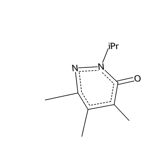 Cc1nn(C(C)C)c(=O)c(C)c1C